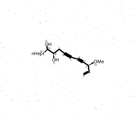 C=C[C@@H](C#CC#CC[C@@H](O)[C@H](O)CCCCCCC)OC